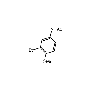 CCc1cc(NC(C)=O)ccc1OC